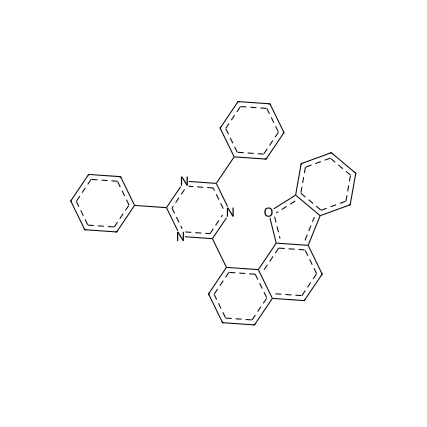 c1ccc(-c2nc(-c3ccccc3)nc(-c3cccc4ccc5c6ccccc6oc5c34)n2)cc1